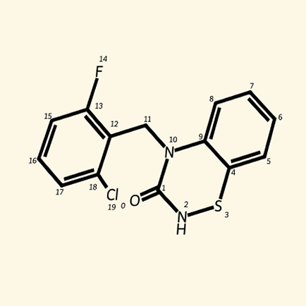 O=C1NSc2ccccc2N1Cc1c(F)cccc1Cl